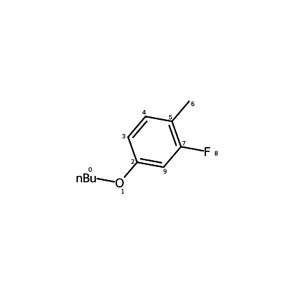 CCCCOc1ccc(C)c(F)c1